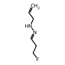 C=CCN/N=C/CCF